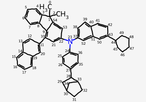 CC1(C)c2ccccc2-c2c(-c3ccc4ccccc4c3)cc(N(c3ccc(C4CC5CCC4C5)cc3)c3ccc4ccc(C5CCCCC5)cc4c3)cc21